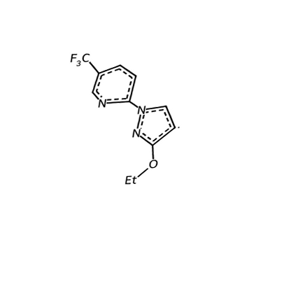 CCOc1[c]cn(-c2ccc(C(F)(F)F)cn2)n1